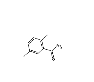 Cc1ccc(C)c(C(=O)P)c1